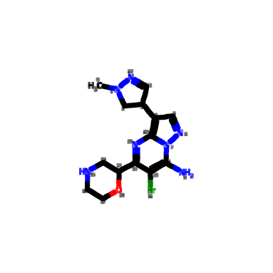 CN1CC(c2cnn3c(N)c(Br)c(C4CNCCO4)nc23)C=N1